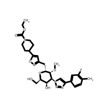 CCOC(=O)N1CCC(c2cc(C[C@H]3O[C@H](CO)[C@H](O)[C@H](n4cc(-c5ccc(C)c(F)c5)nn4)[C@H]3OC)no2)CC1